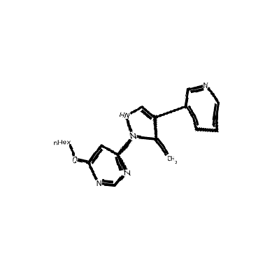 C=C1C(c2cccnc2)=CNN1c1cc(OCCCCCC)ncn1